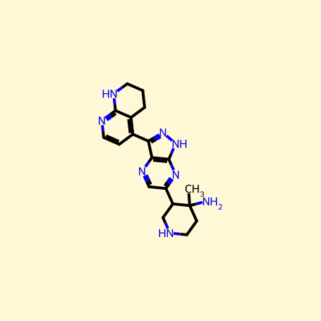 CC1(N)CCNCC1c1cnc2c(-c3ccnc4c3CCCN4)n[nH]c2n1